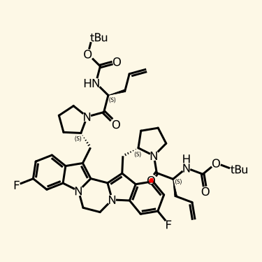 C=CC[C@H](NC(=O)OC(C)(C)C)C(=O)N1CCC[C@H]1Cc1c2n(c3cc(F)ccc13)CCn1c-2c(C[C@@H]2CCCN2C(=O)[C@H](CC=C)NC(=O)OC(C)(C)C)c2ccc(F)cc21